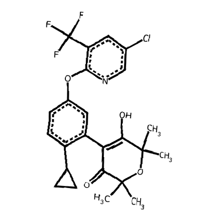 CC1(C)OC(C)(C)C(O)=C(c2cc(Oc3ncc(Cl)cc3C(F)(F)F)ccc2C2CC2)C1=O